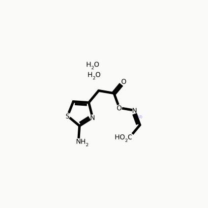 Nc1nc(CC(=O)O/N=C\C(=O)O)cs1.O.O